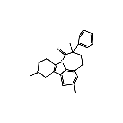 Cc1cc2c3c(c1)c1c(n3C(=O)C(C)(c3ccccc3)CC2)CCN(C)C1